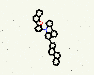 c1ccc(-c2ccccc2N(c2ccc(-c3ccc4c(ccc5c6ccccc6ccc45)c3)cc2)c2cccc3c2oc2c4ccccc4ccc32)cc1